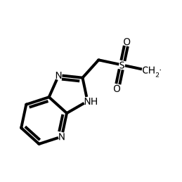 [CH2]S(=O)(=O)Cc1nc2cccnc2[nH]1